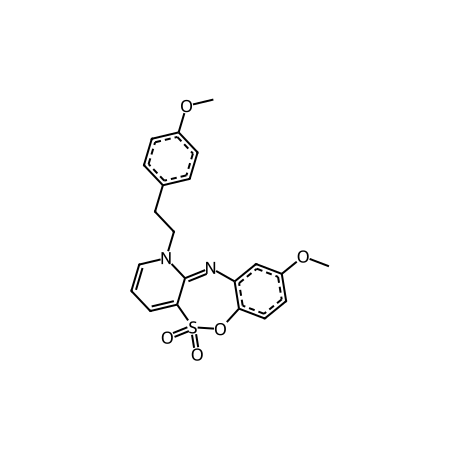 COc1ccc(CCN2C=CC=C3C2=Nc2cc(OC)ccc2OS3(=O)=O)cc1